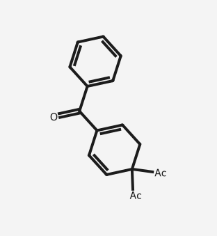 CC(=O)C1(C(C)=O)C=CC(C(=O)c2ccccc2)=CC1